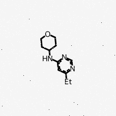 CCc1cc(NC2CCOCC2)ncn1